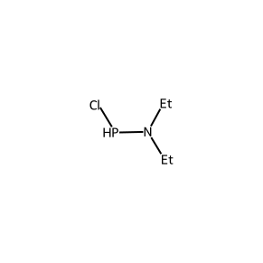 CCN(CC)PCl